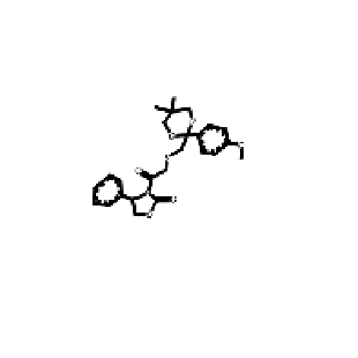 COc1ccc(C2(CSCC(=O)N3C(=O)OCC3c3ccccc3)OCC(C)(C)CO2)cc1